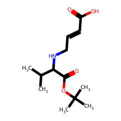 CC(C)C(NC/C=C/C(=O)O)C(=O)OC(C)(C)C